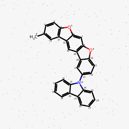 Cc1ccc2oc3cc4oc5ccc(-n6c7ccccc7c7ccccc76)cc5c4cc3c2c1